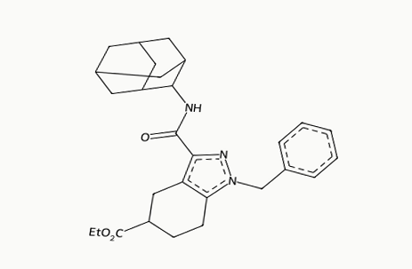 CCOC(=O)C1CCc2c(c(C(=O)NC3C4CC5CC(C4)CC3C5)nn2Cc2ccccc2)C1